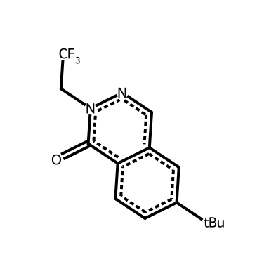 CC(C)(C)c1ccc2c(=O)n(CC(F)(F)F)ncc2c1